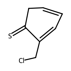 S=C1CC=CC=C1CCl